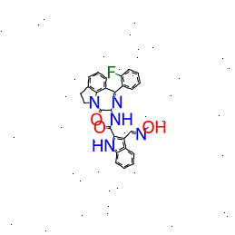 O=C(NC1N=C(c2ccccc2F)c2cccc3c2N(CC3)C1=O)c1[nH]c2ccccc2c1C=NO